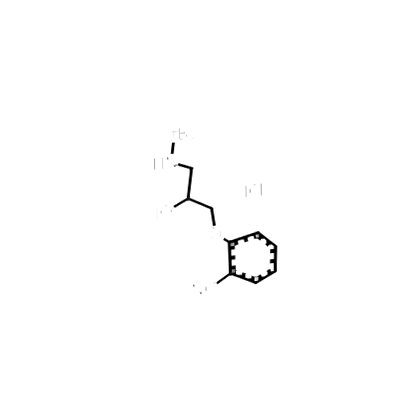 CC(C)(C)NCC(O)COc1ccccc1C#N.Cl